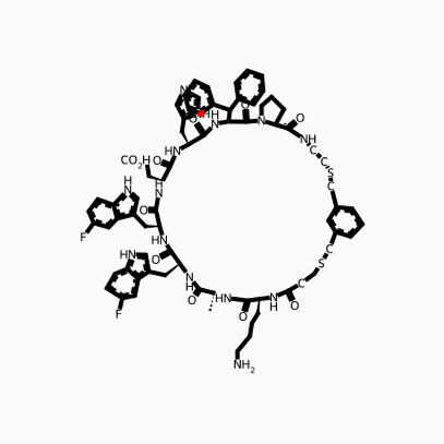 C[C@H]1NC(=O)[C@H](CCCCN)NC(=O)CCSCc2cccc(c2)CSCCNC(=O)[C@]2(C)CCCN2C(=O)C(C(c2ccccc2)c2ccccc2)NC(=O)[C@H](Cc2cnc[nH]2)NC(=O)[C@H](CC(=O)O)NC(=O)[C@H](Cc2c[nH]c3ccc(F)cc23)NC(=O)[C@H](Cc2c[nH]c3ccc(F)cc23)NC1=O